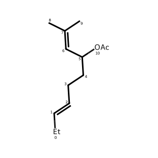 CC/C=C/CCC(C=C(C)C)OC(C)=O